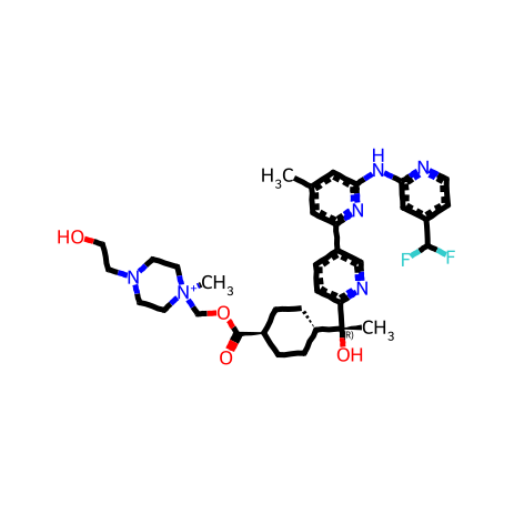 Cc1cc(Nc2cc(C(F)F)ccn2)nc(-c2ccc([C@](C)(O)[C@H]3CC[C@H](C(=O)OC[N+]4(C)CCN(CCO)CC4)CC3)nc2)c1